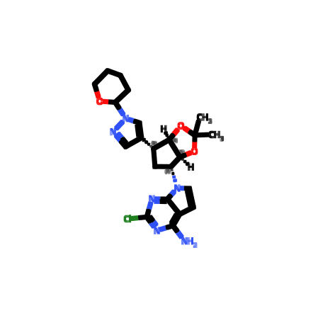 CC1(C)O[C@@H]2[C@H](O1)[C@@H](c1cnn(C3CCCCO3)c1)C[C@H]2n1ccc2c(N)nc(Cl)nc21